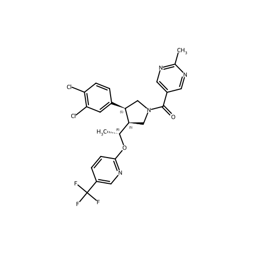 Cc1ncc(C(=O)N2C[C@@H]([C@@H](C)Oc3ccc(C(F)(F)F)cn3)[C@@H](c3ccc(Cl)c(Cl)c3)C2)cn1